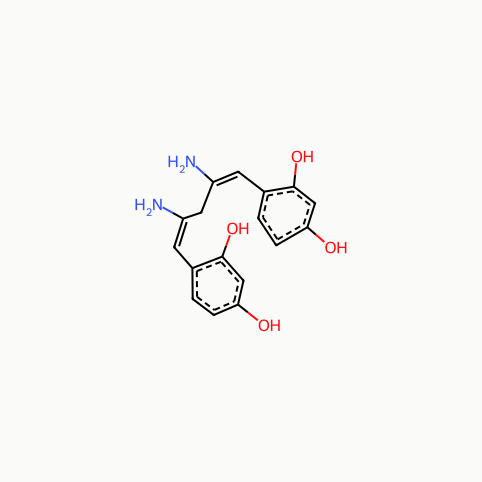 N/C(=C/c1ccc(O)cc1O)C/C(N)=C\c1ccc(O)cc1O